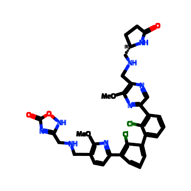 COc1nc(-c2cccc(-c3cccc(-c4cnc(CNC[C@@H]5CCC(=O)N5)c(OC)n4)c3Cl)c2Cl)ccc1CNCc1nc(=O)o[nH]1